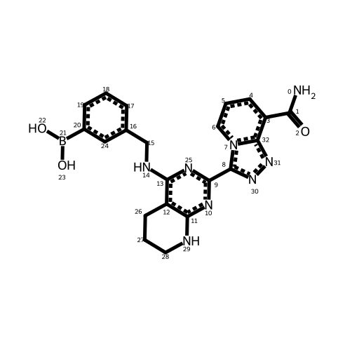 NC(=O)c1cccn2c(-c3nc4c(c(NCc5cccc(B(O)O)c5)n3)CCCN4)nnc12